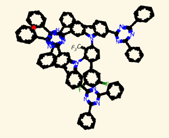 Fc1cc(F)cc(-c2ccc(-n3c4cc(-c5nc(-c6ccccc6)nc(-c6ccccc6)n5)ccc4c4ccc(-c5nc(-c6ccccc6)nc(-c6ccccc6)n5)cc43)c(C(F)(F)F)c2-n2c3cc(-c4nc(-c5ccccc5)nc(-c5ccccc5)n4)ccc3c3ccc(-c4nc(-c5ccccc5)nc(-c5ccccc5)n4)cc32)c1